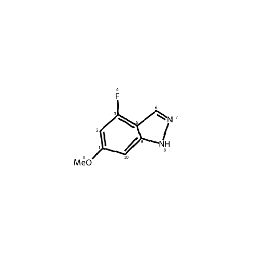 COc1cc(F)c2cn[nH]c2c1